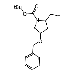 CC(C)(C)OC(=O)N1CC(OCc2ccccc2)CC1CF